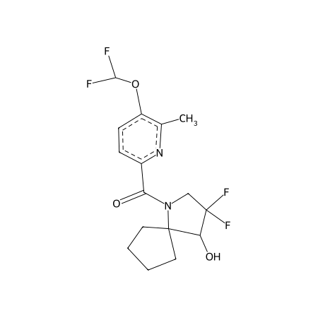 Cc1nc(C(=O)N2CC(F)(F)C(O)C23CCCC3)ccc1OC(F)F